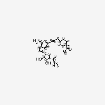 CCNC(=O)[C@H]1O[C@@H](n2cnc3c(N)nc(C#CCC4CCC(C)(C(=O)OC)CC4)nc32)C(O)C1O